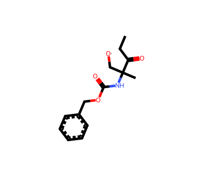 CCC(=O)C(C)(C[O])NC(=O)OCc1ccccc1